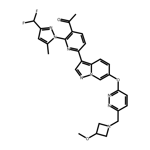 COC1CN(Cc2ccc(Oc3ccc4c(-c5ccc(C(C)=O)c(-n6nc(C(F)F)cc6C)n5)cnn4c3)nn2)C1